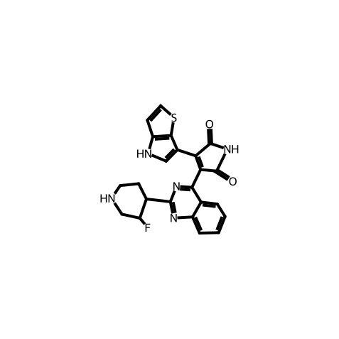 O=C1NC(=O)C(c2c[nH]c3ccsc23)=C1c1nc(C2CCNCC2F)nc2ccccc12